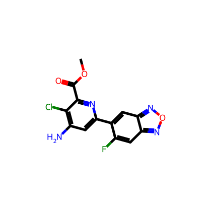 COC(=O)c1nc(-c2cc3nonc3cc2F)cc(N)c1Cl